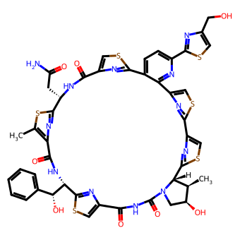 Cc1sc2nc1C(=O)N[C@@H]([C@H](O)c1ccccc1)c1nc(cs1)C(=O)NC(=O)N1C[C@H](O)[C@H](C)[C@H]1c1nc(cs1)-c1nc(cs1)-c1nc(-c3nc(CO)cs3)ccc1-c1nc(cs1)C(=O)N[C@H]2CC(N)=O